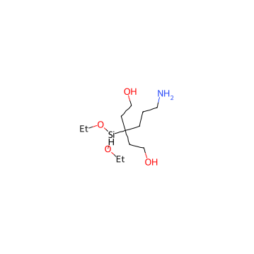 CCO[SiH](OCC)C(CCO)(CCO)CCCN